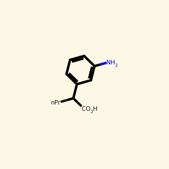 CCCC(C(=O)O)c1cccc(N)c1